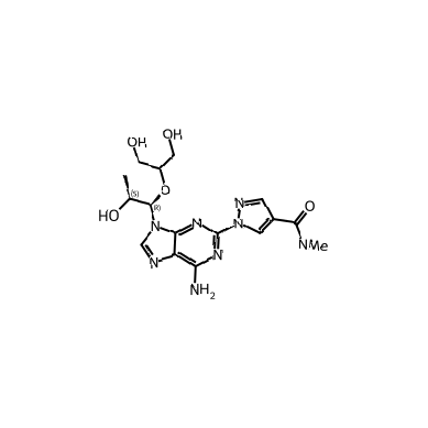 CNC(=O)c1cnn(-c2nc(N)c3ncn([C@H](OC(CO)CO)[C@H](C)O)c3n2)c1